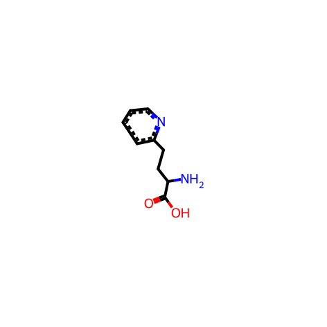 NC(CCc1ccccn1)C(=O)O